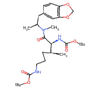 CC(Cc1ccc2c(c1)OCO2)N(C)C(=O)[C@@H](NC(=O)OC(C)(C)C)[C@@H](C)CCCNC(=O)OC(C)(C)C